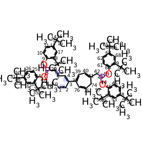 C\C=C/C(=C\C=C\P(Oc1ccc(C(C)(C)C)cc1C(C)(C)C)Oc1ccc(C(C)(C)C)cc1C(C)(C)C)C1=CC=C(CP(Oc2ccc(C(C)(C)C)cc2C(C)(C)C)Oc2ccc(C(C)(C)C)cc2C(C)(C)C)CC=C1